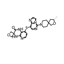 C[C@H]1CC2(CCN(c3ncc(Sc4ccnc5c4NC(=O)C4(COC4)N5)c4nccn34)CC2)CO1